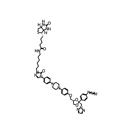 [N-]=[N+]=Nc1ccc([C@]2(Cn3nccn3)OC[C@@H](COc3ccc(N4CCN(c5ccc(-n6cnn(CCCCCCNC(=O)CCCC[C@@H]7SC[C@@H]8NC(=O)N[C@@H]87)c6=O)cc5)CC4)cc3)O2)cc1